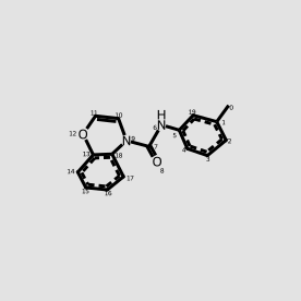 Cc1cccc(NC(=O)N2C=COc3ccccc32)c1